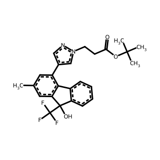 Cc1cc(-c2cnn(CCC(=O)OC(C)(C)C)c2)c2c(c1)C(O)(C(F)(F)F)c1ccccc1-2